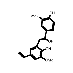 C=Cc1cc(CC(O)c2ccc(O)c(OC)c2)c(O)c(OC)c1